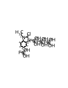 CCN1c2ccccc2SC1Cl.OB(O)F.OB(O)F.OB(O)F.OB(O)F